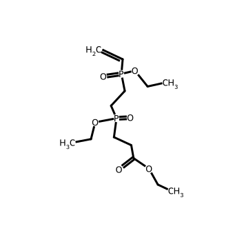 C=CP(=O)(CCP(=O)(CCC(=O)OCC)OCC)OCC